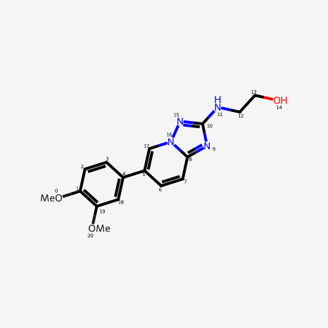 COc1ccc(-c2ccc3nc(NCCO)nn3c2)cc1OC